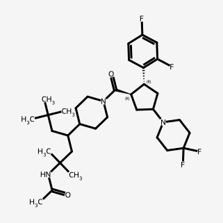 CC(=O)NC(C)(C)CC(CC(C)(C)C)C1CCN(C(=O)[C@@H]2CC(N3CCC(F)(F)CC3)C[C@H]2c2ccc(F)cc2F)CC1